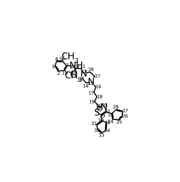 Cc1cccc(C)c1NC(=O)CN1CCN(CCCCc2nc(-c3ccccc3)c(-c3ccccc3)s2)CC1